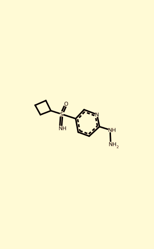 N=S(=O)(c1ccc(NN)nc1)C1CCC1